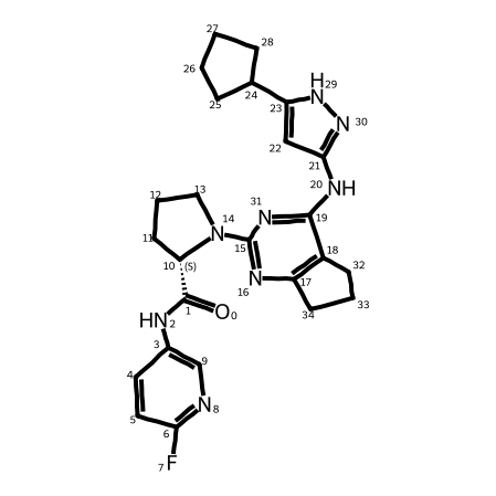 O=C(Nc1ccc(F)nc1)[C@@H]1CCCN1c1nc2c(c(Nc3cc(C4CCCC4)[nH]n3)n1)CCC2